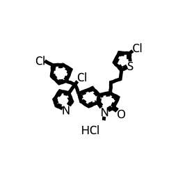 Cl.Cn1c(=O)cc(CCc2ccc(Cl)s2)c2cc(C(Cl)(c3ccc(Cl)cc3)c3cccnc3)ccc21